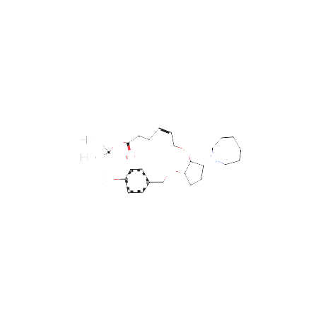 CC(C)(C)OC(=O)CC/C=C\COC1[C@H](OCc2ccc(Br)cc2)CC[C@@H]1N1CCCCCC1